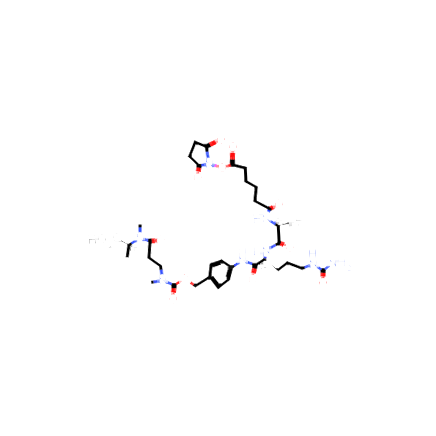 CC(C)[C@H](NC(=O)CCCCC(=O)ON1C(=O)CCC1=O)C(=O)N[C@@H](CCCNC(N)=O)C(=O)Nc1ccc(COC(=O)N(C)CCC(=O)N(C)[C@@H](C)C(=O)O)cc1